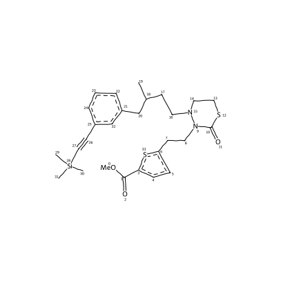 COC(=O)c1ccc(CCN2C(=O)SCCN2CCC(C)Cc2cccc(C#C[Si](C)(C)C)c2)s1